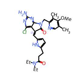 CCN(CC)C(=O)CCc1ccc(/C=C2\C(=O)N(Cc3ncc(C)c(OC)c3C)c3nc(N)nc(Cl)c32)[nH]1